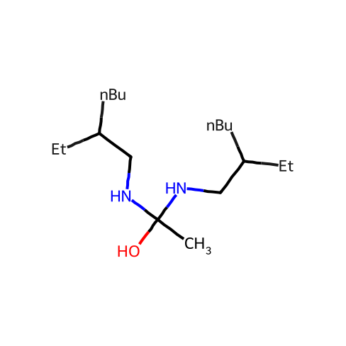 CCCCC(CC)CNC(C)(O)NCC(CC)CCCC